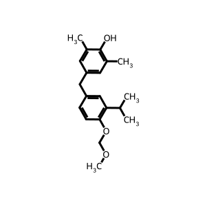 COCOc1ccc(Cc2cc(C)c(O)c(C)c2)cc1C(C)C